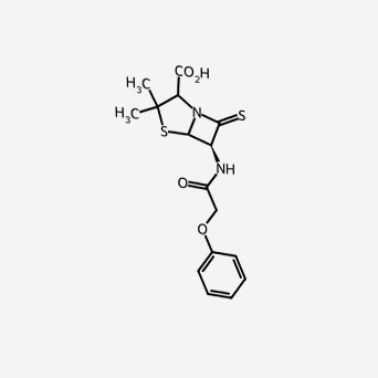 CC1(C)SC2[C@H](NC(=O)COc3ccccc3)C(=S)N2C1C(=O)O